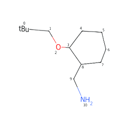 CC(C)(C)COC1CCCCC1CN